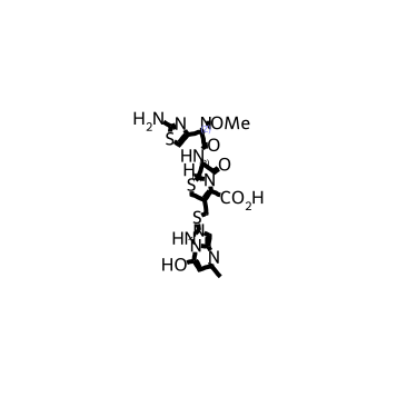 CO/N=C(\C(=O)N[C@@H]1C(=O)N2C(C(=O)O)=C(CSN3C=C4N=C(C)C=C(O)N4N3)CS[C@H]12)c1csc(N)n1